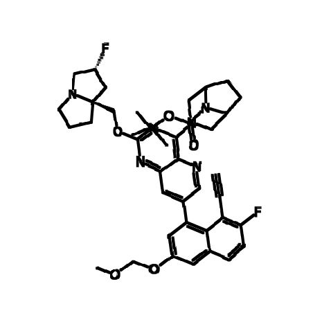 C#Cc1c(F)ccc2cc(OCOC)cc(-c3cnc4c(N5CC6CCC(C5)N6C(=O)OC(C)(C)C)nc(OC[C@@]56CCCN5C[C@H](F)C6)nc4c3)c12